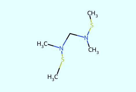 CSN(C)CN(C)SC